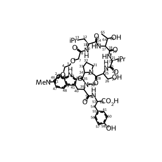 CNCCOCCOCC(=O)N[C@@H](CC(C)C)C(=O)NC(C(=O)N[C@H](C(=O)NC(CO)C(=O)N1CCCC1C(=O)N(C)C(Cc1c[nH]c2ccccc12)C(=O)NC(Cc1ccc(O)cc1)C(=O)O)C(C)C)C(C)O